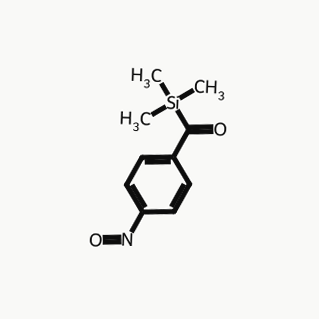 C[Si](C)(C)C(=O)c1ccc(N=O)cc1